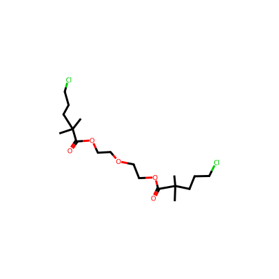 CC(C)(CCCCl)C(=O)OCCOCCOC(=O)C(C)(C)CCCCl